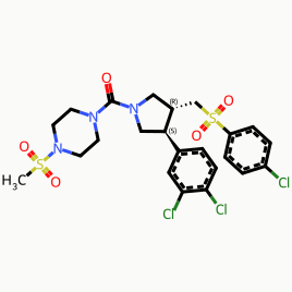 CS(=O)(=O)N1CCN(C(=O)N2C[C@H](CS(=O)(=O)c3ccc(Cl)cc3)[C@@H](c3ccc(Cl)c(Cl)c3)C2)CC1